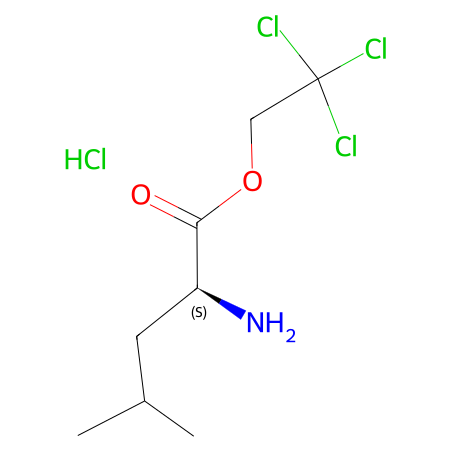 CC(C)C[C@H](N)C(=O)OCC(Cl)(Cl)Cl.Cl